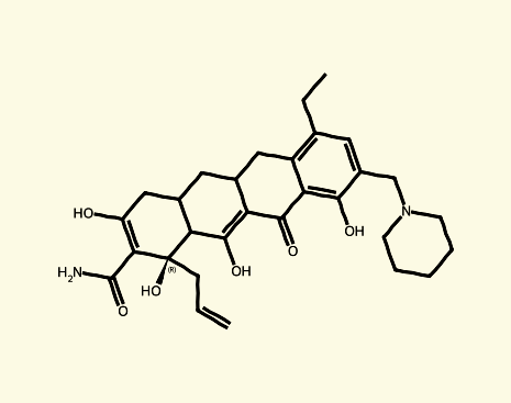 C=CC[C@]1(O)C(C(N)=O)=C(O)CC2CC3Cc4c(CC)cc(CN5CCCCC5)c(O)c4C(=O)C3=C(O)C21